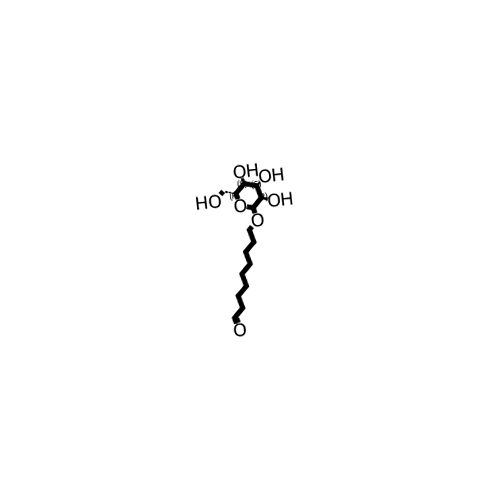 O=CCCCCCCCCOC1O[C@H](CO)[C@@H](O)[C@H](O)[C@H]1O